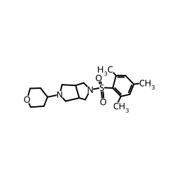 Cc1cc(C)c(S(=O)(=O)N2CC3CN(C4CCOCC4)CC3C2)c(C)c1